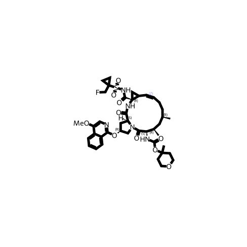 COc1cnc(O[C@@H]2C[C@H]3C(=O)N[C@]4(C(=O)NS(=O)(=O)C5(CF)CC5)CC4/C=C\CC[C@@H](C)C[C@@H](C)[C@H](NC(=O)OC4(C)CCOCC4)C(=O)N3C2)c2ccccc12